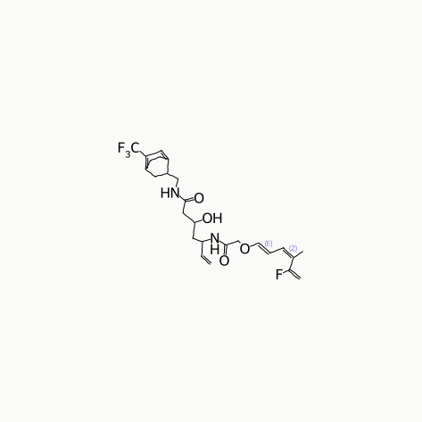 C=CC(CC(O)CC(=O)NCC1CC2=C(C(F)(F)F)C=C1CC2)NC(=O)CO/C=C/C=C(/C)C(=C)F